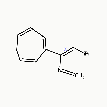 C=N/C(=C\C(C)C)C1=CC=CCC=C1